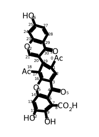 CC(=O)c1cc2c(=O)c3c(C(=O)O)c(O)c(O)cc3oc2c(C(C)=O)c1-c1coc2cc(O)ccc2c1=O